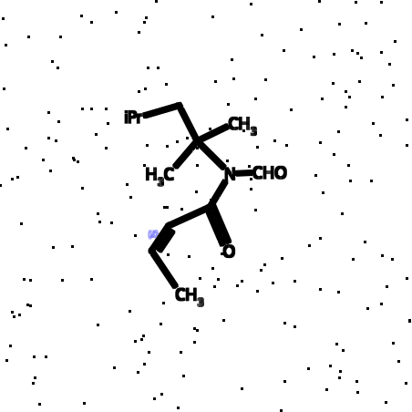 C/C=C\C(=O)N(C=O)C(C)(C)CC(C)C